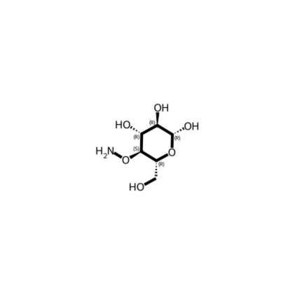 NO[C@H]1[C@H](O)[C@@H](O)[C@H](O)O[C@@H]1CO